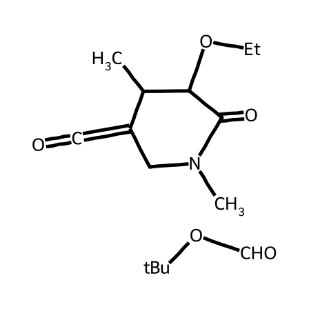 CC(C)(C)OC=O.CCOC1C(=O)N(C)CC(=C=O)C1C